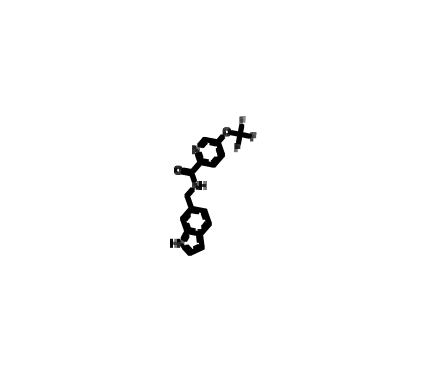 O=C(NCc1ccc2cc[nH]c2c1)c1ccc(OC(F)(F)F)cn1